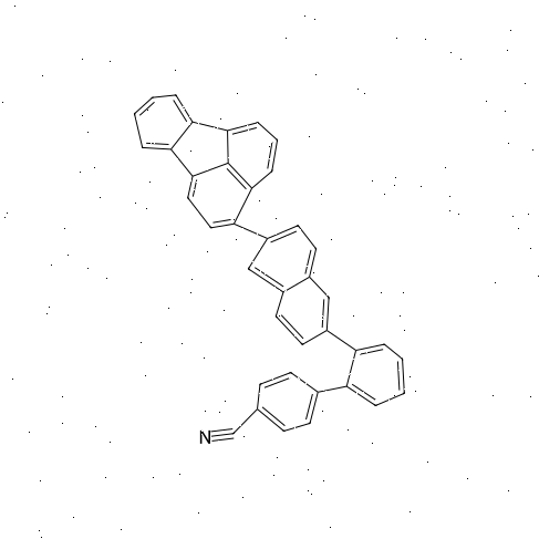 N#Cc1ccc(-c2ccccc2-c2ccc3cc(-c4ccc5c6c(cccc46)-c4ccccc4-5)ccc3c2)cc1